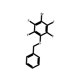 Fc1c(F)c(SCc2ccccc2)c(F)c(F)c1Br